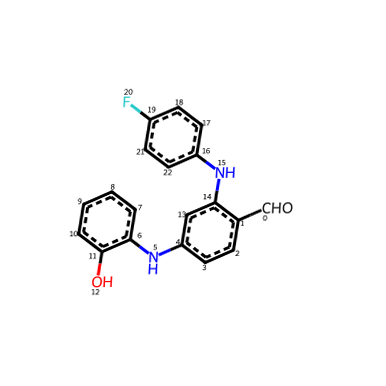 O=Cc1ccc(Nc2ccccc2O)cc1Nc1ccc(F)cc1